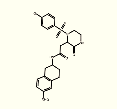 O=Cc1ccc2c(c1)CCC(NC(=O)CC1C(=O)NCCN1S(=O)(=O)c1ccc(Cl)cc1)C2